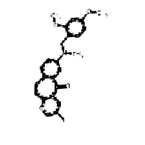 COc1ccc(CN(C)c2ccc3ccc4ncc(I)cc4c(=O)c3c2)c(OC)c1